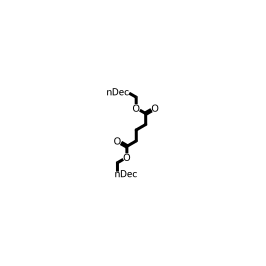 CCCCCCCCCCCOC(=O)CCCC(=O)OCCCCCCCCCCC